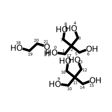 OCC(CO)(CO)CO.OCC(CO)(CO)CO.OCCO